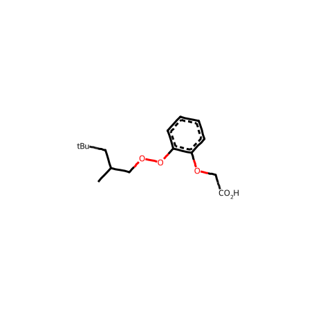 CC(COOc1ccccc1OCC(=O)O)CC(C)(C)C